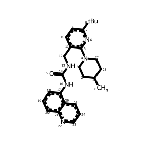 CC1CCN(c2nc(C(C)(C)C)ccc2CNC(=O)Nc2cccc3ncccc23)CC1